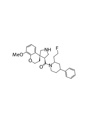 COc1cccc2c1OCC[C@]21CNC[C@H]1C(=O)N1CCC(c2ccccc2)CC1CCF